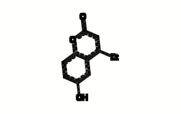 CCc1cc(=O)oc2ccc(O)cc12